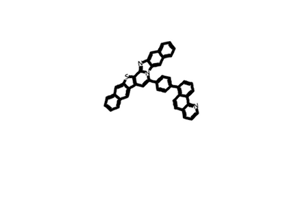 c1ccc2cc3c(cc2c1)nc1c2sc4cc5ccccc5cc4c2cc(-c2ccc(-c4cccc5c4ccc4cccnc45)cc2)n31